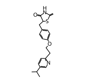 C=C1NC(=O)C(Cc2ccc(OCCc3ccc(C(C)C)cn3)cc2)S1